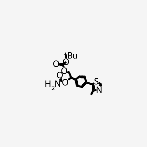 Cc1ncsc1-c1ccc(C(COC(=O)OC(C)(C)C)OC(N)=O)cc1